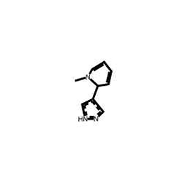 CN1C=CC=CC1c1cn[nH]c1